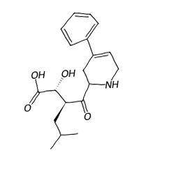 CC(C)C[C@H](C(=O)C1CC(c2ccccc2)=CCN1)[C@@H](O)C(=O)O